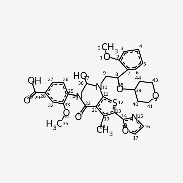 COc1ccccc1C(CN1c2sc(-c3ncco3)c(C)c2C(=O)N(c2ccc(C(=O)O)cc2OC)C1O)OC1CCOCC1